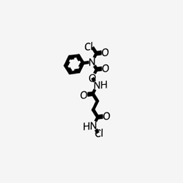 O=C(CCC(=O)NOC(=O)N(C(=O)Cl)c1ccccc1)NCl